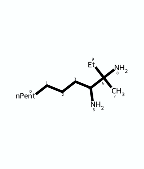 CCCCCCCCC(N)C(C)(N)CC